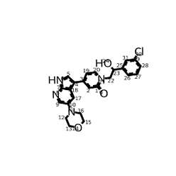 O=c1cc(-c2c[nH]c3ncc(N4CCOCC4)cc23)ccn1CC(O)c1cccc(Cl)c1